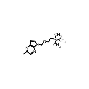 C[Si](C)(C)CCOCn1ccc2nc(I)cnc21